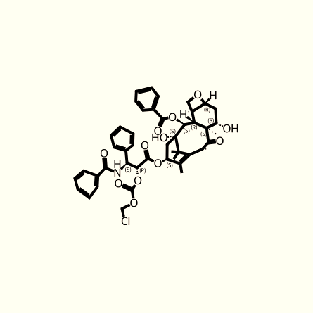 CC1=C2[CH]C(=O)[C@]3(C)[C@@H](O)C[C@H]4OC[C]4[C@H]3[C@H](OC(=O)c3ccccc3)[C@](O)(C[C@@H]1OC(=O)[C@H](OC(=O)OCCl)[C@@H](NC(=O)c1ccccc1)c1ccccc1)C2(C)C